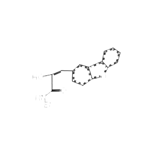 CCNC(=O)/C(O)=C\c1ccc2oc3ccccc3c2c1